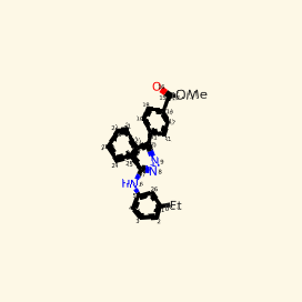 CCc1cccc(Nc2nnc(-c3ccc(C(=O)OC)cc3)c3ccccc23)c1